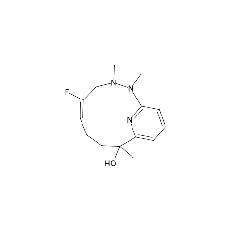 CN1C/C(F)=C\CCC(C)(O)c2cccc(n2)N1C